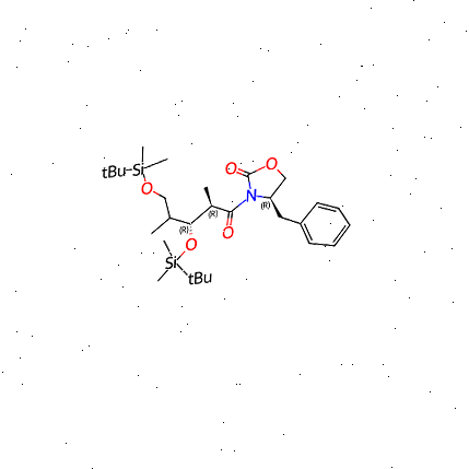 CC(CO[Si](C)(C)C(C)(C)C)[C@@H](O[Si](C)(C)C(C)(C)C)[C@@H](C)C(=O)N1C(=O)OC[C@H]1Cc1ccccc1